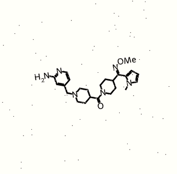 CON=C(c1cccn1C)C1CCN(C(=O)C2CCN(Cc3ccnc(N)c3)CC2)CC1